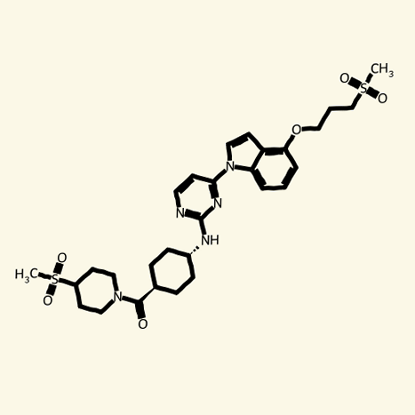 CS(=O)(=O)CCCOc1cccc2c1ccn2-c1ccnc(N[C@H]2CC[C@H](C(=O)N3CCC(S(C)(=O)=O)CC3)CC2)n1